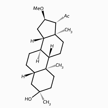 CO[C@@H]1C[C@H]2[C@@H]3CC[C@H]4C[C@](C)(O)CC[C@]4(C)[C@H]3CC[C@]2(C)[C@H]1C(C)=O